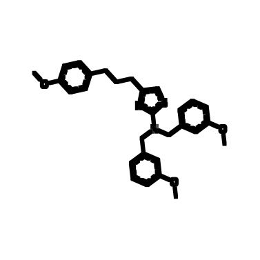 COc1ccc(CCCc2csc(N(Cc3cccc(OC)c3)Cc3cccc(OC)c3)n2)cc1